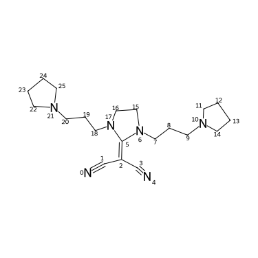 N#CC(C#N)=C1N(CCCN2CCCC2)CCN1CCCN1CCCC1